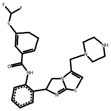 O=C(Nc1ccccc1C1CN2C(CN3CCNCC3)=CSC2=N1)C1=CCCC(SC(F)F)=C1